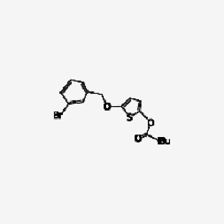 CCC(C)C(=O)Oc1ccc(OCc2cccc(Br)c2)s1